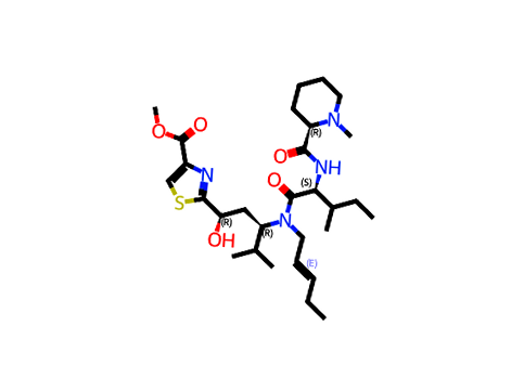 CC/C=C/CN(C(=O)[C@@H](NC(=O)[C@H]1CCCCN1C)C(C)CC)[C@H](C[C@@H](O)c1nc(C(=O)OC)cs1)C(C)C